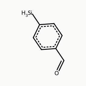 O=Cc1ccc([SiH3])cc1